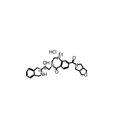 CCN1CCN(C[C@@H](O)[C@@H]2Cc3ccccc3CN2)C(=O)c2ccc(C(=O)N3CC4COCC4C3)cc21.Cl